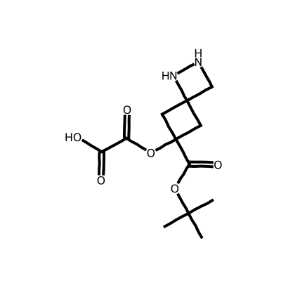 CC(C)(C)OC(=O)C1(OC(=O)C(=O)O)CC2(CNN2)C1